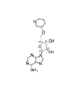 Nc1ncnc2c1ncn2[C@H]1O[C@H](COc2cccnc2)[C@H](O)[C@H]1O